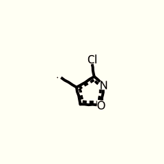 [CH2]c1conc1Cl